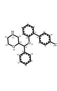 Clc1ccc(-c2ccccc2OC(c2ccccc2)C2CNCCO2)cc1